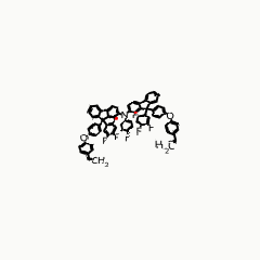 C=Cc1ccc(Oc2ccc(C3(c4cc(F)c(F)cc4F)c4ccccc4-c4ccc(N(c5ccc(F)cc5)c5ccc6c(c5)C(c5ccc(Oc7ccc(C=C)cc7)cc5)(c5cc(F)c(F)cc5F)c5ccccc5-6)cc43)cc2)cc1